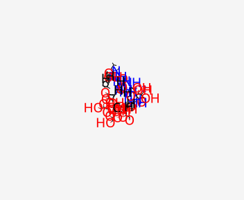 CC(=O)[C@@H]1NC(=O)[C@H]2NC(=O)[C@H](NC(=O)[C@@H]3NC(=O)[C@H](CC(N)=O)NC(=O)[C@H](NC(=O)[C@@H](CC(C)C)N(C)C)[C@H](O)c4ccc(c(C)c4)Oc4cc3cc(c4O[C@@H]3O[C@H](CO)[C@@H](O[C@@H]4O[C@H](CO)[C@@H](O[C@@H]5OC(C=O)=C[C@H](O)[C@H]5C)[C@H](O)[C@H]4O)[C@H](O)[C@H]3O)Oc3ccc(cc3C)[C@H]2C)c2ccc(O)c(c2)-c2c1cc(O)c(C)c2O